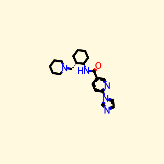 O=C(N[C@@H]1CCCC[C@H]1CN1CCCCC1)c1ccc(-n2ccnc2)nc1